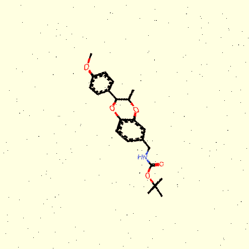 COc1ccc(C2Oc3ccc(CNC(=O)OC(C)(C)C)cc3OC2C)cc1